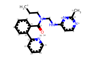 CCCN(CNc1ccnc(C)n1)C(=O)c1ccccc1-c1ccccn1